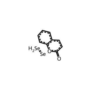 O=c1ccc2ccccc2o1.[Se]=[SeH2]